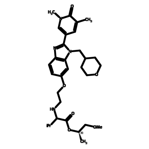 COC[C@H](C)OC(=O)C(NCCOc1ccc2nc(-c3cc(C)c(=O)n(C)c3)n(CC3CCOCC3)c2c1)C(C)C